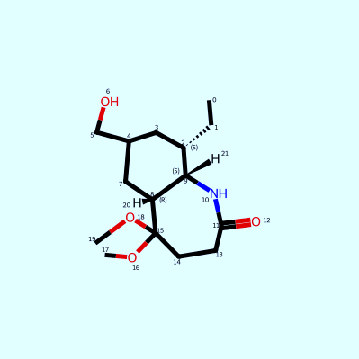 CC[C@H]1CC(CO)C[C@@H]2[C@H]1NC(=O)CCC2(OC)OC